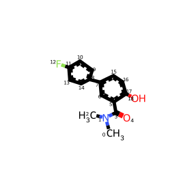 CN(C)C(=O)c1cc(-c2ccc(F)cc2)ccc1O